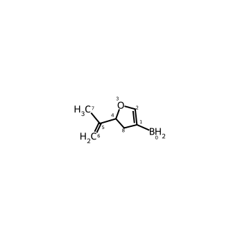 BC1=COC(C(=C)C)C1